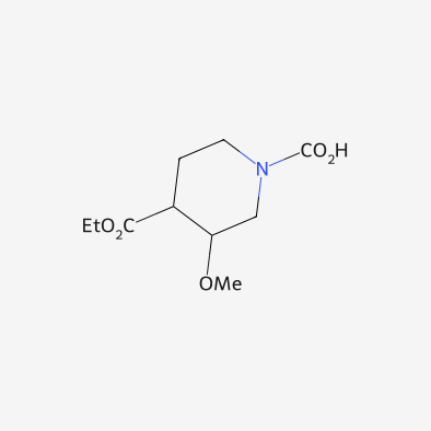 CCOC(=O)C1CCN(C(=O)O)CC1OC